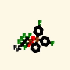 O=S(=O)(OS(c1ccccc1)(c1ccc(F)cc1)c1ccc(F)cc1)C(F)(F)C(F)(F)C(F)(F)C(F)(F)F